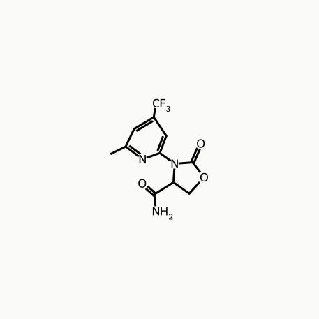 Cc1cc(C(F)(F)F)cc(N2C(=O)OCC2C(N)=O)n1